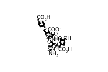 Nc1nc(C(=NOC(C(=O)O)c2ccc(O)c(O)c2)C(=O)NC2C(=O)N3C(C(=O)[O-])=C(CSc4cc[n+](CC(=O)O)cc4)CS[C@@H]23)cs1